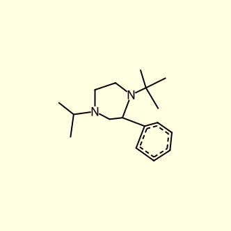 CC(C)N1CCN(C(C)(C)C)C(c2ccccc2)C1